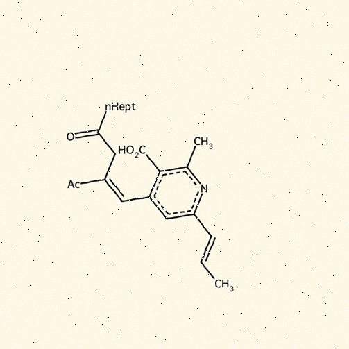 CC=Cc1cc(C=C(CC(=O)CCCCCCC)C(C)=O)c(C(=O)O)c(C)n1